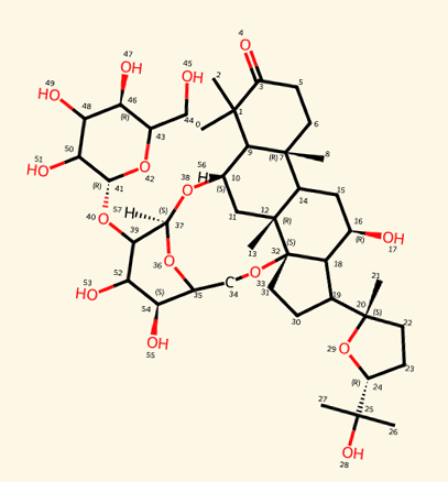 CC1(C)C(=O)CC[C@@]2(C)C1[C@@H]1C[C@]3(C)C2C[C@@H](O)C2C([C@]4(C)CC[C@H](C(C)(C)O)O4)CC[C@]23OCC2O[C@H](O1)C(O[C@H]1OC(CO)[C@H](O)C(O)C1O)C(O)[C@@H]2O